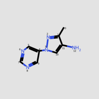 Cc1nn(-c2cncnc2)cc1N